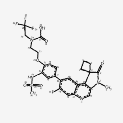 CN1C(=O)C2(CCC2)c2c1cnc1cc(F)c(-c3cnc(OCCN(CC(F)(F)F)C(=O)O)c(NS(C)(=O)=O)c3)cc21